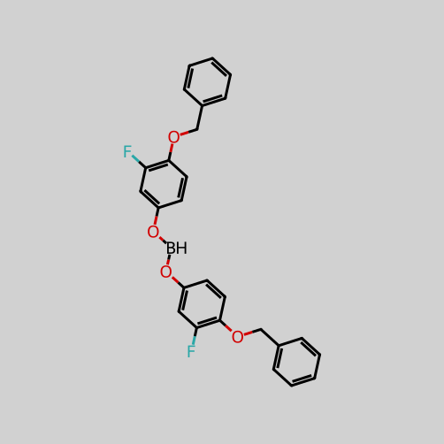 Fc1cc(OBOc2ccc(OCc3ccccc3)c(F)c2)ccc1OCc1ccccc1